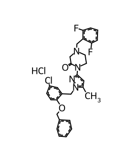 Cc1cc(N2CCN(Cc3c(F)cccc3F)CC2=O)nn1Cc1cc(Cl)ccc1OCc1ccccc1.Cl